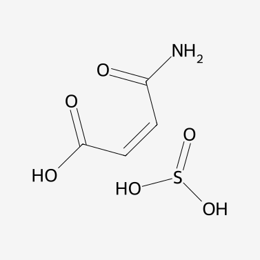 NC(=O)/C=C\C(=O)O.O=S(O)O